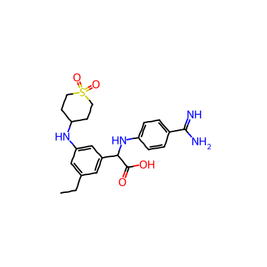 CCc1cc(NC2CCS(=O)(=O)CC2)cc(C(Nc2ccc(C(=N)N)cc2)C(=O)O)c1